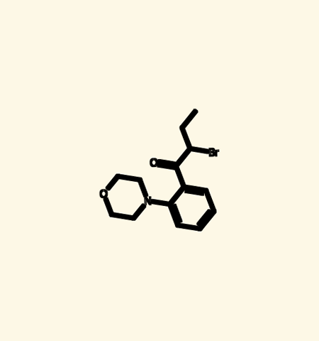 CCC(Br)C(=O)c1ccccc1N1CCOCC1